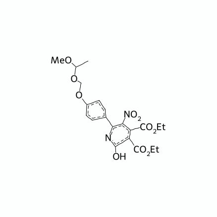 CCOC(=O)c1c(O)nc(-c2ccc(OCOC(C)OC)cc2)c([N+](=O)[O-])c1C(=O)OCC